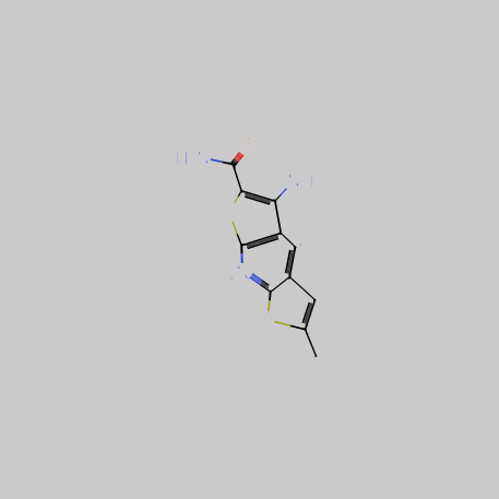 Cc1cc2cc3c(N)c(C(N)=O)sc3nc2s1